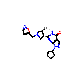 C[C@@H]1CN(Cc2ccno2)C[C@H]1c1nc2c(cnn2C2CCCC2)c(=O)[nH]1